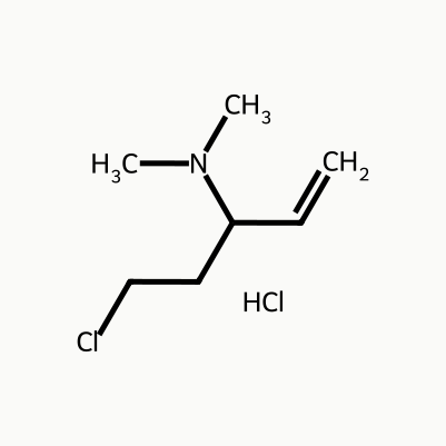 C=CC(CCCl)N(C)C.Cl